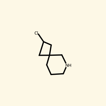 ClC1CC2(CCCNC2)C1